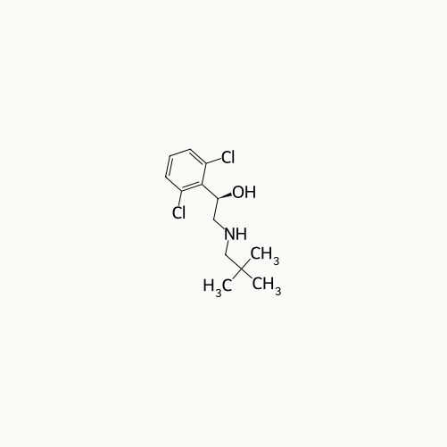 CC(C)(C)CNC[C@H](O)c1c(Cl)cccc1Cl